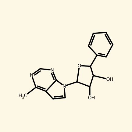 Cc1ncnc2c1ccn2C1OC(c2ccccc2)C(O)C1O